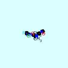 Cc1nn(-c2ccc(N3CCCC3=O)cc2)c(C)c1CC(=O)NCc1ccc(F)cc1Cl